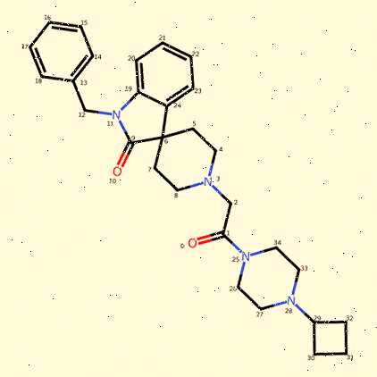 O=C(CN1CCC2(CC1)C(=O)N(Cc1ccccc1)c1ccccc12)N1CCN(C2CCC2)CC1